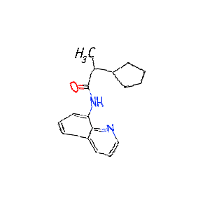 CC(C(=O)Nc1cccc2cccnc12)C1CCCC1